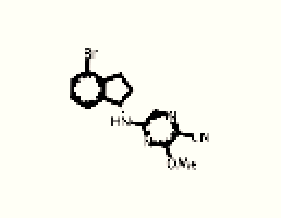 COc1nc(N[C@H]2CCc3c(Br)cccc32)cnc1C#N